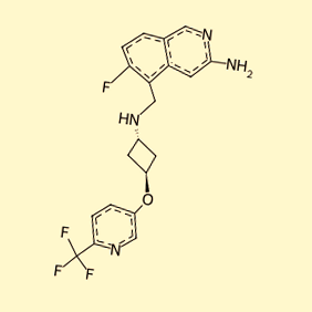 Nc1cc2c(CN[C@H]3C[C@H](Oc4ccc(C(F)(F)F)nc4)C3)c(F)ccc2cn1